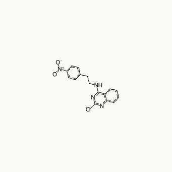 O=[N+]([O-])c1ccc(CCNc2nc(Cl)nc3ccccc23)cc1